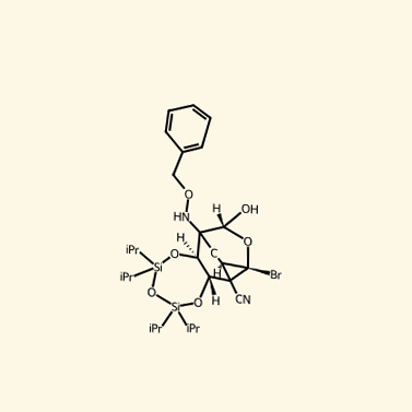 CC(C)[Si]1(C(C)C)O[C@H]2C[C@@]3(Br)O[C@@H](O)C(NOCc4ccccc4)(C[C@@H]3C#N)[C@@H]2O[Si](C(C)C)(C(C)C)O1